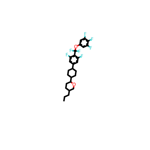 CCCC1CCC(C2CCC(c3cc(F)c(C(F)(F)Oc4cc(F)c(F)c(F)c4)c(F)c3)CC2)OC1